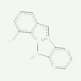 [O-][NH+]1c2nccnc2-n2cc3cccc(Br)c3[n+]21